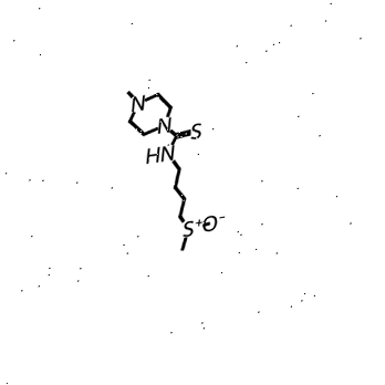 CN1CCN(C(=S)NCCCC[S+](C)[O-])CC1